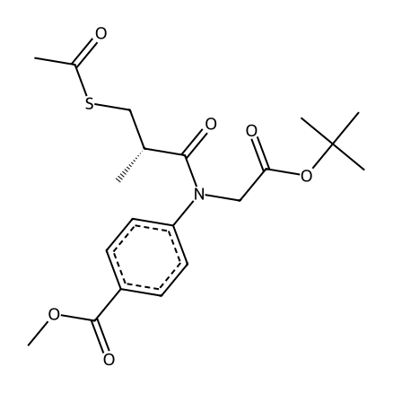 COC(=O)c1ccc(N(CC(=O)OC(C)(C)C)C(=O)[C@H](C)CSC(C)=O)cc1